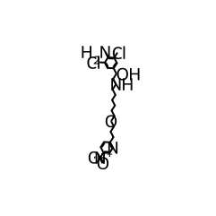 Nc1c(Cl)cc(C(O)CNCCCCCCOCCCc2ccc([N+](=O)[O-])cn2)cc1Cl